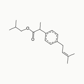 CC(C)=CCc1ccc(C(C)C(=O)OCC(C)C)cc1